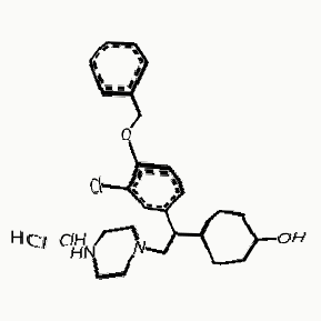 Cl.Cl.OC1CCC(C(CN2CCNCC2)c2ccc(OCc3ccccc3)c(Cl)c2)CC1